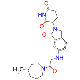 CC1CCCN(C(=O)CNc2ccc3c(c2)C(=O)N(C2CCC(=O)NC2=O)C3)CC1